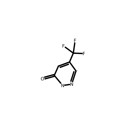 O=C1C=C(C(F)(F)F)[C]=N[N]1